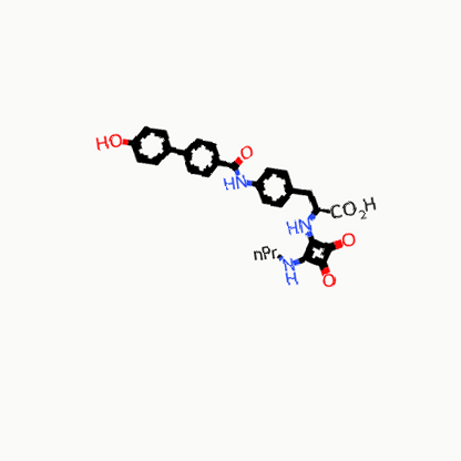 CCCNc1c(N[C@@H](Cc2ccc(NC(=O)c3ccc(-c4ccc(O)cc4)cc3)cc2)C(=O)O)c(=O)c1=O